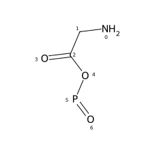 NCC(=O)OP=O